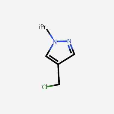 CC(C)n1cc(CCl)cn1